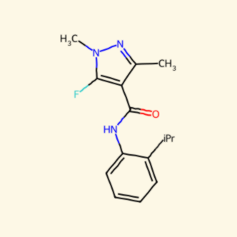 Cc1nn(C)c(F)c1C(=O)Nc1ccccc1C(C)C